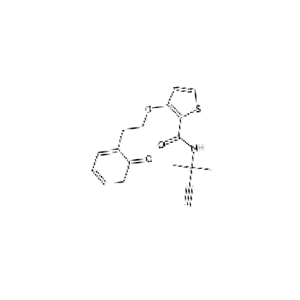 C#CC(C)(C)NC(=O)c1sccc1OCCC1=CC=CCC1=O